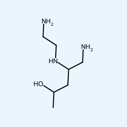 CC(O)CC(CN)NCCN